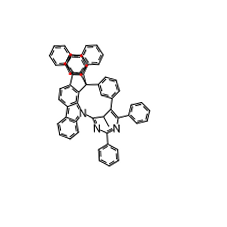 CC1C2=NC(c3ccccc3)=NC(c3ccccc3)=C1c1cccc(c1)C1(c3ccccc3)c3c(c4ccccc4c4ccccc34)-c3ccc4c5ccccc5n2c4c31